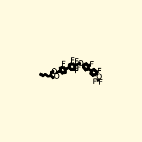 C=CCCC1COC(c2ccc(-c3cc(F)c(C(F)(F)Oc4ccc(-c5ccc(OC(F)F)c(F)c5)c(F)c4)c(F)c3)c(F)c2)OC1